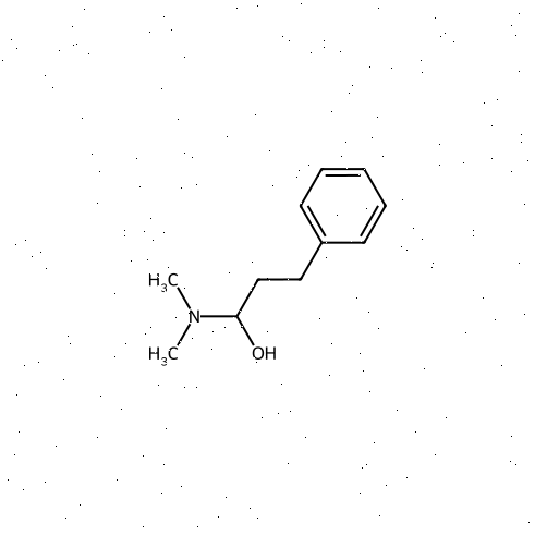 CN(C)C(O)CCc1ccccc1